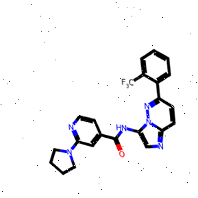 O=C(Nc1cnc2ccc(-c3ccccc3C(F)(F)F)nn12)c1ccnc(N2CCCC2)c1